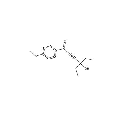 CCC(O)(C#CC(=O)c1ccc(SC)cc1)CC